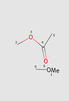 COC.COC(C)=O